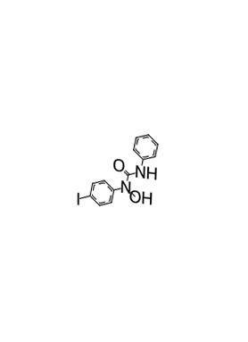 O=C(Nc1ccccc1)N(O)c1ccc(I)cc1